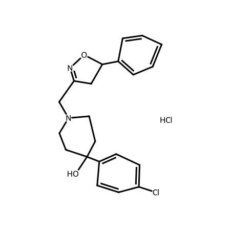 Cl.OC1(c2ccc(Cl)cc2)CCN(CC2=NOC(c3ccccc3)C2)CC1